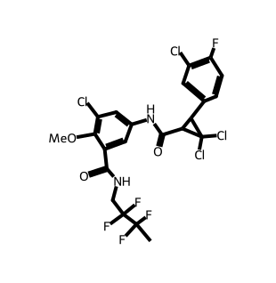 COc1c(Cl)cc(NC(=O)C2C(c3ccc(F)c(Cl)c3)C2(Cl)Cl)cc1C(=O)NCC(F)(F)C(C)(F)F